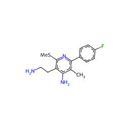 CSc1nc(-c2ccc(F)cc2)c(C)c(N)c1CCN